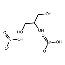 O=[N+]([O-])O.O=[N+]([O-])O.OCC(O)CO